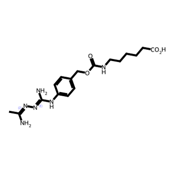 C/C(N)=N/N=C(\N)Nc1ccc(COC(=O)NCCCCCC(=O)O)cc1